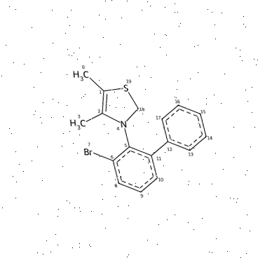 CC1=C(C)N(c2c(Br)cccc2-c2ccccc2)[C]S1